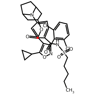 CCCCCS(=O)(=O)NC(=O)c1ccc(N2C3CCC2CC(OC(=O)c2c(-c4c(Cl)cccc4Cl)noc2C2CC2)C3)cc1